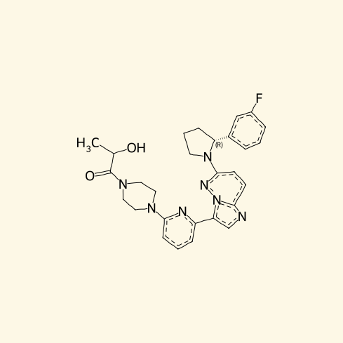 CC(O)C(=O)N1CCN(c2cccc(-c3cnc4ccc(N5CCC[C@@H]5c5cccc(F)c5)nn34)n2)CC1